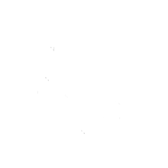 Cc1ncc(-c2ccc(C(=O)N3CCC(N4CCCC4)CC3)cc2)cc1OC(C)c1c(Cl)ccc(F)c1Cl.[Cl-].[H+]